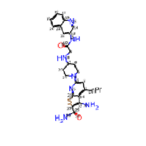 CCCc1cc(N2CCC(NCC(=O)Nc3cnc4ccccc4c3)CC2)nc2sc(C(N)=O)c(N)c12